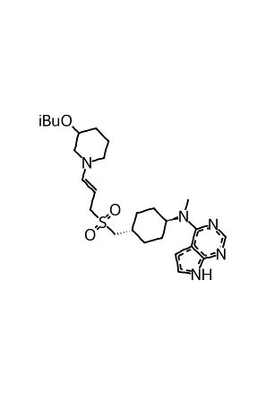 CC(C)COC1CCCN(C=CCS(=O)(=O)C[C@H]2CC[C@H](N(C)c3ncnc4[nH]ccc34)CC2)C1